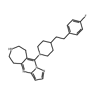 Fc1ccc(CCC2CCN(c3c4c(nc5ccnn35)CCNCC4)CC2)cc1